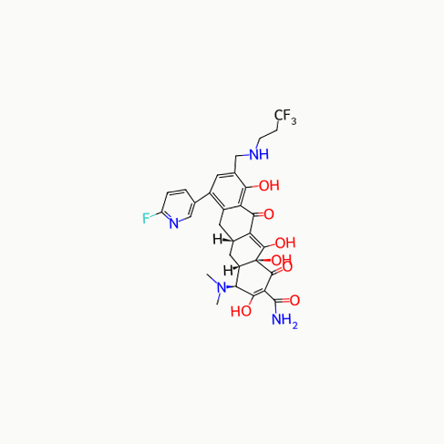 CN(C)[C@@H]1C(O)=C(C(N)=O)C(=O)[C@@]2(O)C(O)=C3C(=O)c4c(O)c(CNCCC(F)(F)F)cc(-c5ccc(F)nc5)c4C[C@H]3C[C@@H]12